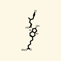 CCC#CCC(C)CC=C(O)[C@H]1[C@@H]2CC=C(CCCCC(=O)OC)C[C@@H]2C[C@@H]1O